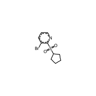 O=S(=O)(c1ncccc1Br)C1CCCC1